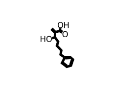 C=C(C(=O)O)C(O)CCCCc1ccccc1